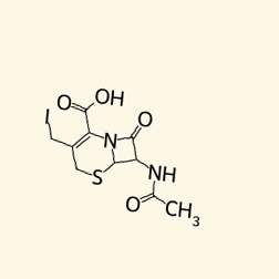 CC(=O)NC1C(=O)N2C(C(=O)O)=C(CI)CSC12